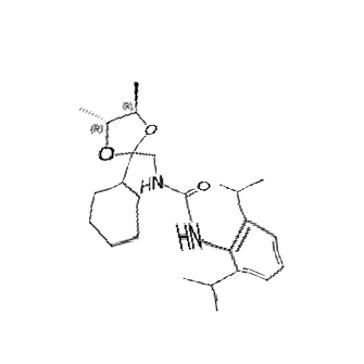 CC(C)c1cccc(C(C)C)c1NC(=O)NCC1(C2CCCCC2)O[C@H](C)[C@@H](C)O1